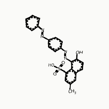 Cc1cc(S(=O)(=O)O)c2c(/N=N/c3ccc(/N=N/c4ccccc4)cc3)c(O)ccc2c1